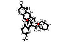 COc1ccc2ncc(Cl)c(C(O)CN3C4CCC3CC(NCc3cc5c(cc3F)SCC(=O)N5)C4)c2n1